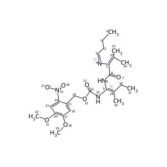 CCC/C=N\C(C(=O)N/C(NC(=O)OCc1cc(OC)c(OC)cc1[N+](=O)[O-])=C(/C)CC)=C(C)C